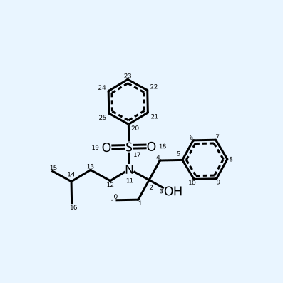 [CH2]CC(O)(Cc1ccccc1)N(CCC(C)C)S(=O)(=O)c1ccccc1